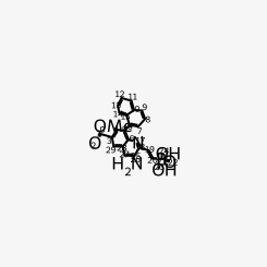 COC(=O)c1cc(-c2cccc3ccccc23)c2nc(/C=C/P(=O)(O)O)c(N)cc2c1